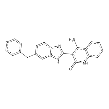 Nc1c(-c2nc3ccc(Cc4ccncc4)cc3[nH]2)c(=O)[nH]c2ccccc12